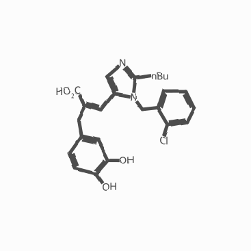 CCCCc1ncc(C=C(Cc2ccc(O)c(O)c2)C(=O)O)n1Cc1ccccc1Cl